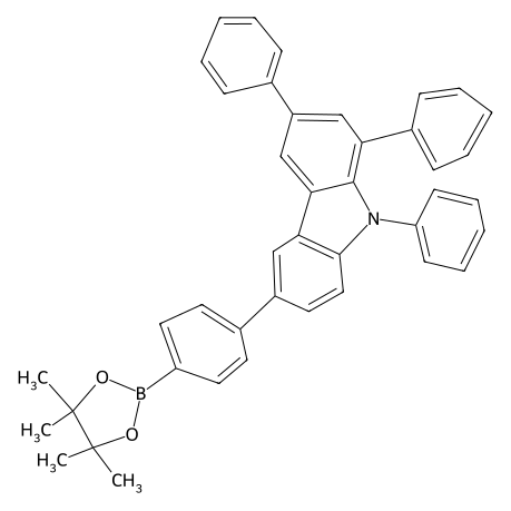 CC1(C)OB(c2ccc(-c3ccc4c(c3)c3cc(-c5ccccc5)cc(-c5ccccc5)c3n4-c3ccccc3)cc2)OC1(C)C